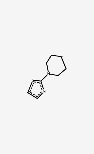 [CH]1CCN(c2nccs2)CC1